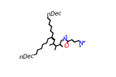 CCCCCCCCCCCCCCCCC(=CC(C)C(C)C(C)CN(C)C(=O)CCCN(C)C)CCCCCCCCCCCCCCCC